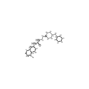 Cc1nccc2nc(NC(=O)NCCN3CCC(Cc4ccccc4)CC3)ccc12